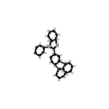 c1ccc(-n2c(-c3ccc4c(c3)-c3cccc5cccc-4c35)nc3ccccc32)cc1